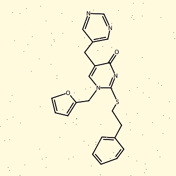 O=c1nc(SCCc2ccccc2)n(Cc2ccco2)cc1Cc1cncnc1